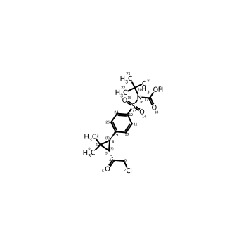 CC1(C)[C@@H](C(=O)CCl)[C@@H]1c1ccc(S(=O)(=O)N(C(=O)O)C(C)(C)C)cc1